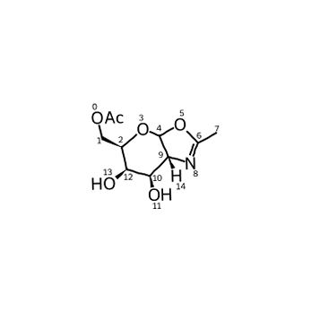 CC(=O)OC[C@H]1OC2OC(C)=N[C@@H]2[C@@H](O)[C@H]1O